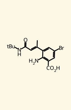 CC(=CC(=O)NC(C)(C)C)c1cc(Br)cc(C(=O)O)c1N